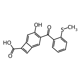 CSc1ccccc1C(=O)c1cc2c(cc1O)C(C(=O)O)=C2